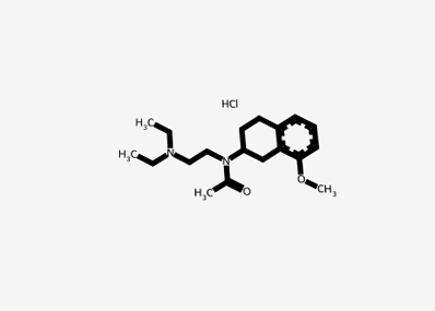 CCN(CC)CCN(C(C)=O)C1CCc2cccc(OC)c2C1.Cl